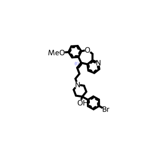 COc1ccc2c(c1)/C(=C/CCN1CCC(O)(c3ccc(Br)cc3)CC1)c1cccnc1CO2